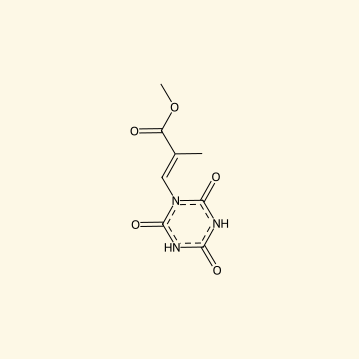 COC(=O)C(C)=Cn1c(=O)[nH]c(=O)[nH]c1=O